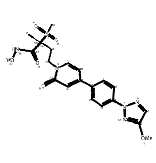 COc1cnn(-c2ccc(-c3ccn(CC[C@](C)(C(=O)NO)S(C)(=O)=O)c(=O)c3)cc2)n1